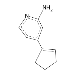 Nc1cc(C2=CCCC2)ccn1